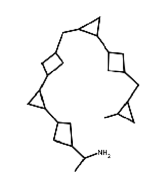 CC(N)C1CC(C2CC2C2CC(CC3CC3C3CC(CC4CC4C)C3)C2)C1